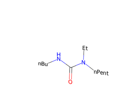 CCCCCN(CC)C(=O)NCCCC